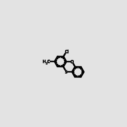 Cc1cc(Cl)c2c(c1)Sc1ccccc1O2